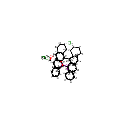 [C]=O.[Cl-].[Cl-].[Cl-].[Rh+3].c1ccc(P(c2ccccc2)c2ccc3c(c2-c2c(P(c4ccccc4)c4ccccc4)ccc4c2CCCC4)CCCC3)cc1